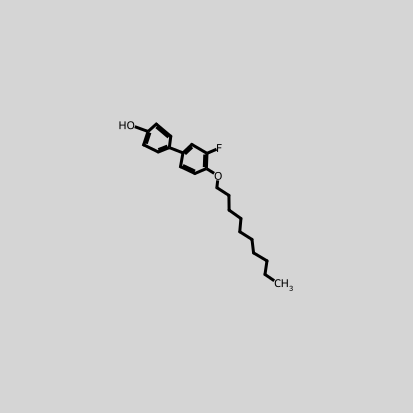 CCCCCCCCCCOc1ccc(-c2ccc(O)cc2)cc1F